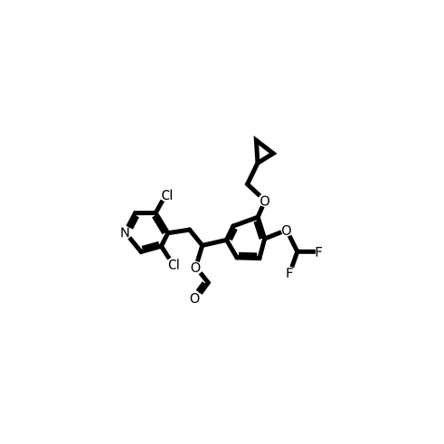 O=COC(Cc1c(Cl)cncc1Cl)c1ccc(OC(F)F)c(OCC2CC2)c1